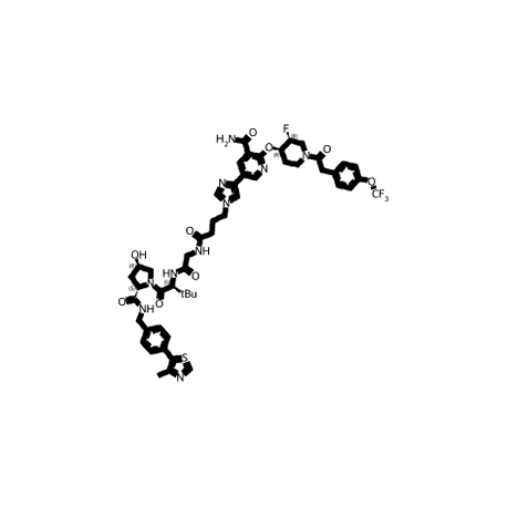 Cc1ncsc1-c1ccc(CNC(=O)[C@@H]2C[C@@H](O)CN2C(=O)[C@@H](NC(=O)CNC(=O)CCCn2cnc(-c3cnc(O[C@@H]4CCN(C(=O)Cc5ccc(OC(F)(F)F)cc5)C[C@H]4F)c(C(N)=O)c3)c2)C(C)(C)C)cc1